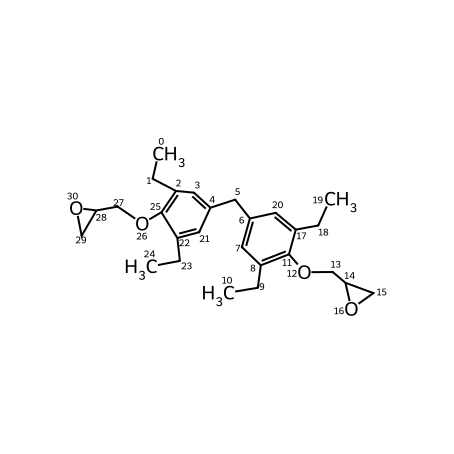 CCc1cc(Cc2cc(CC)c(OCC3CO3)c(CC)c2)cc(CC)c1OCC1CO1